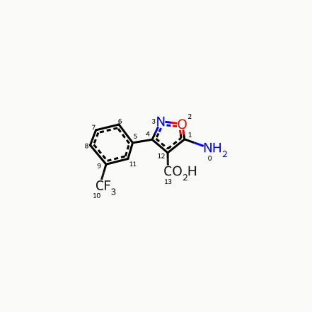 Nc1onc(-c2cccc(C(F)(F)F)c2)c1C(=O)O